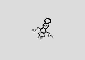 COc1c(OC)c(OC)c2c(c1OC)C1CCC2c2ccccc21